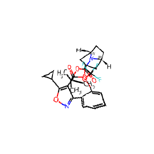 CC(C)(C)OC(=O)N1[C@@H]2CC[C@H]1CC(OC(=O)c1c(-c3ccccc3OC(F)(F)F)noc1C1CC1)C2